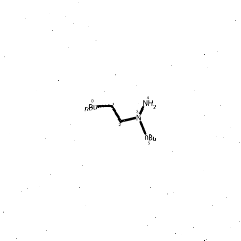 CCCCCCN(N)CCCC